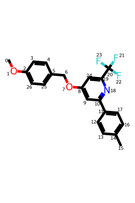 COc1ccc(COc2cc(-c3ccc(C)cc3)nc(C(F)(F)F)c2)cc1